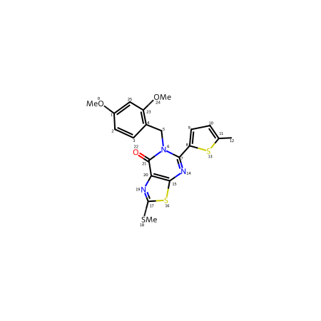 COc1ccc(Cn2c(-c3ccc(C)s3)nc3sc(SC)nc3c2=O)c(OC)c1